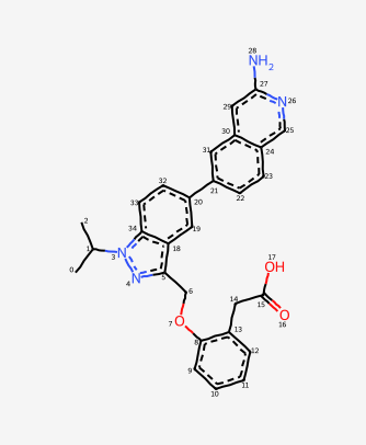 CC(C)n1nc(COc2ccccc2CC(=O)O)c2cc(-c3ccc4cnc(N)cc4c3)ccc21